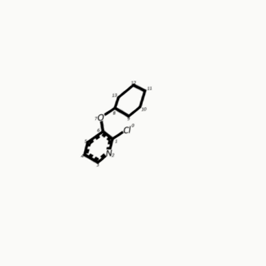 Clc1ncccc1OC1CCCCC1